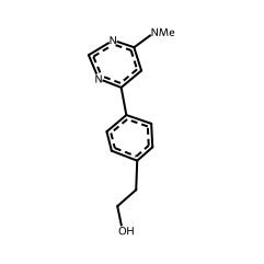 CNc1cc(-c2ccc(CCO)cc2)ncn1